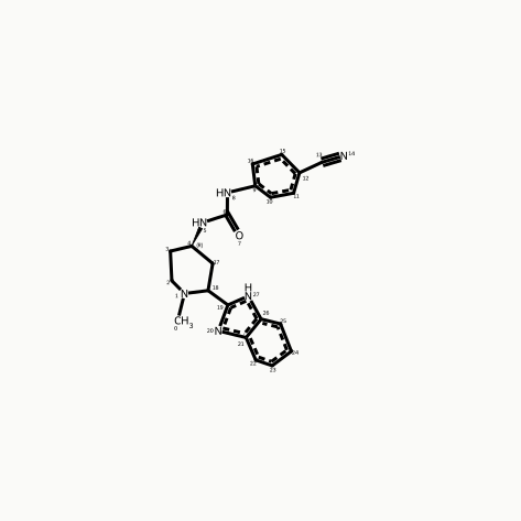 CN1CC[C@@H](NC(=O)Nc2ccc(C#N)cc2)CC1c1nc2ccccc2[nH]1